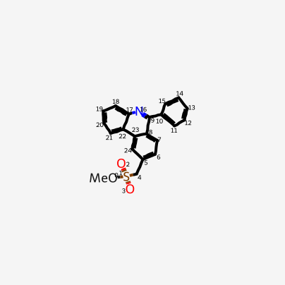 COS(=O)(=O)Cc1ccc2c(-c3ccccc3)nc3ccccc3c2c1